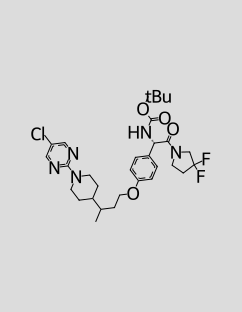 CC(CCOc1ccc([C@H](NC(=O)OC(C)(C)C)C(=O)N2CCC(F)(F)C2)cc1)C1CCN(c2ncc(Cl)cn2)CC1